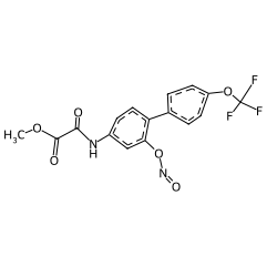 COC(=O)C(=O)Nc1ccc(-c2ccc(OC(F)(F)F)cc2)c(ON=O)c1